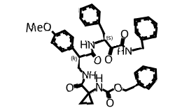 COc1ccc([C@H](CNC(=O)C2(NC(=O)OCc3ccccc3)CC2)C(=O)N[C@@H](Cc2ccccc2)C(=O)C(=O)NCc2ccccc2)cc1